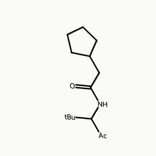 CC(=O)C(NC(=O)CC1CCCC1)C(C)(C)C